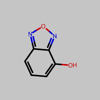 Oc1cccc2nonc12